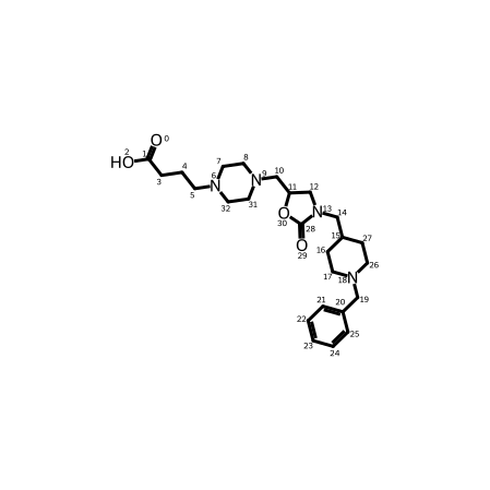 O=C(O)CCCN1CCN(CC2CN(CC3CCN(Cc4ccccc4)CC3)C(=O)O2)CC1